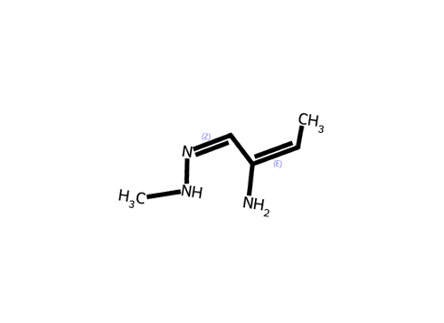 C/C=C(N)\C=N/NC